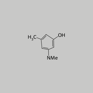 CNc1cc(C)cc(O)c1